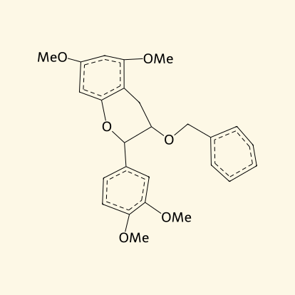 COc1cc(OC)c2c(c1)OC(c1ccc(OC)c(OC)c1)C(OCc1ccccc1)C2